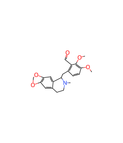 COc1ccc(CC2c3cc4c(cc3CCN2C)OCO4)c(C=O)c1OC